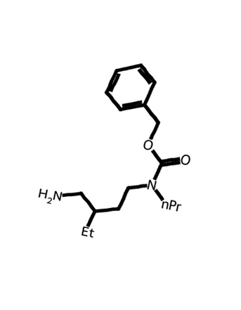 CCCN(CCC(CC)CN)C(=O)OCc1ccccc1